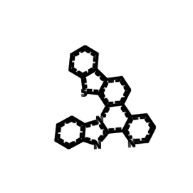 c1ccc2c(c1)nc1c3ncccc3c3ccc4c5ccccc5sc4c3n21